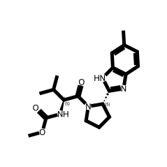 COC(=O)N[C@H](C(=O)N1CCC[C@H]1c1nc2ccc(C)cc2[nH]1)C(C)C